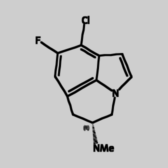 CN[C@@H]1Cc2cc(F)c(Cl)c3ccn(c23)C1